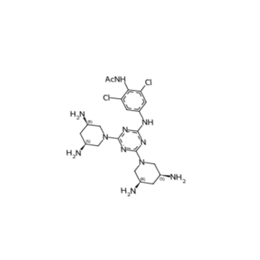 CC(=O)Nc1c(Cl)cc(Nc2nc(N3C[C@H](N)C[C@H](N)C3)nc(N3C[C@H](N)C[C@H](N)C3)n2)cc1Cl